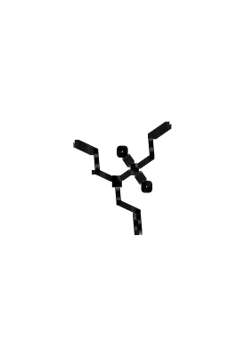 C=C[CH]N(CC=C)S(=O)(=O)CC=C